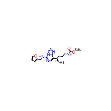 CC/C=C(\CCCNC(=O)OC(C)(C)C)c1cnc(NCc2ccco2)n2cnnc12